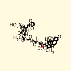 CCC(=O)O[C@]1(C(=O)COCNC(=O)CNC(=O)CNC(=O)[C@H](C)NC(=O)[C@H](CCC(=O)O)NC(=O)CCN2C(=O)C=CC2=O)[C@@H](C)CC2[C@@H]3CCC4=CC(=O)C=C[C@]4(C)[C@@]3(Cl)[C@@H](O)C[C@@]21C